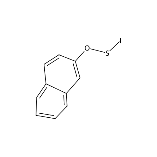 ISOc1ccc2ccccc2c1